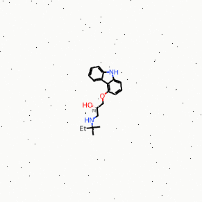 CCC(C)(C)NC[C@H](O)COc1cccc2[nH]c3ccccc3c12